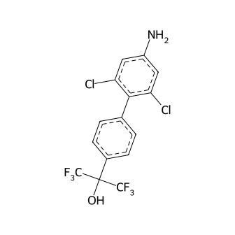 Nc1cc(Cl)c(-c2ccc(C(O)(C(F)(F)F)C(F)(F)F)cc2)c(Cl)c1